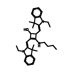 CCCCNC1=C(/C=C2/N(CC)c3ccccc3C2(C)C)C(O)C1/C=C1/N(CC)c2ccccc2C1(C)C